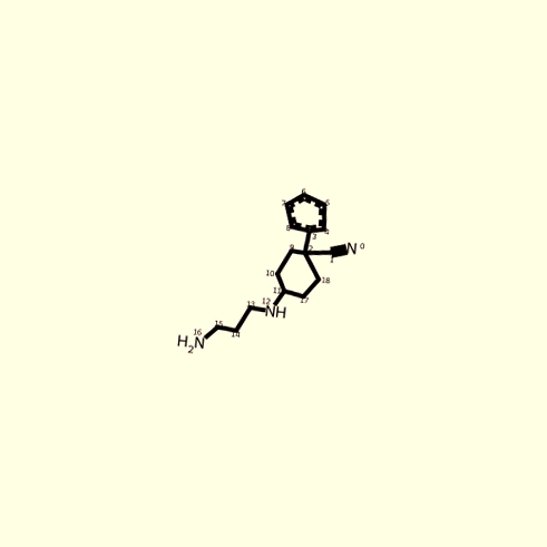 N#CC1(c2ccccc2)CCC(NCCCN)CC1